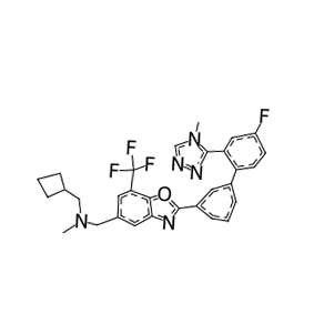 CN(Cc1cc(C(F)(F)F)c2oc(-c3cccc(-c4ccc(F)cc4-c4nncn4C)c3)nc2c1)CC1CCC1